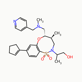 CC(CO)N1C[C@H](C)[C@@H](CN(C)Cc2ccncc2)Oc2cc(C3=CCCC3)ccc2S1(=O)=O